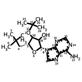 CC(C)(C)C[C@H]1O[C@@H](n2cnc3c(N)ncnc32)C(O)C1OC(C)(C)C